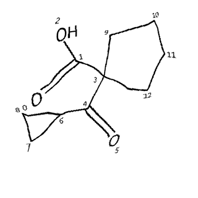 O=C(O)C1(C(=O)C2CC2)CCCC1